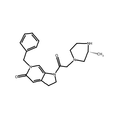 C[C@@H]1CN(CC(=O)N2CCc3cc(=O)n(Cc4ccccc4)cc32)CCN1